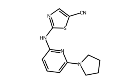 N#Cc1cnc(Nc2cccc(N3CCCC3)n2)s1